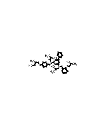 CC(O)COc1ccccc1CN(CC(C)O)c1nc(-c2ccccc2)nc(N(Cc2ccc(OCC(C)CO)cc2)CC(C)O)n1